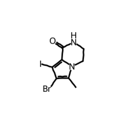 Cc1c(Br)c(I)c2n1CCNC2=O